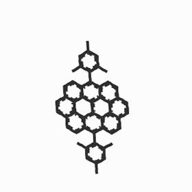 Cc1cc(C)c(-c2c3ccc4ccc5ccc6c(-c7c(C)cc(C)cc7C)c7ccc8ccc9ccc2c2c9c8c7c7c6c5c4c3c27)c(C)c1